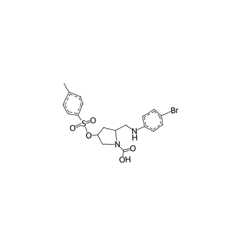 Cc1ccc(S(=O)(=O)OC2CC(CNc3ccc(Br)cc3)N(C(=O)O)C2)cc1